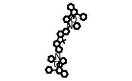 CC1(C)c2c(ccc3cc(N(c4ccccc4)c4cccc5c4oc4c(-c6ccccc6)cc6ccccc6c45)ccc23)-c2ccc3cc(N(c4ccccc4)c4cccc5c4oc4c(-c6ccccc6)cc6ccccc6c45)ccc3c21